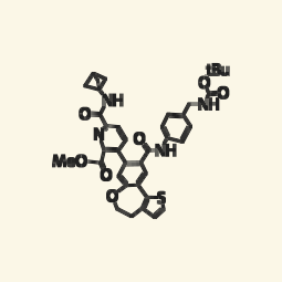 COC(=O)c1nc(C(=O)NC23CC(C2)C3)ccc1-c1cc2c(cc1C(=O)Nc1ccc(CNC(=O)OC(C)(C)C)cc1)-c1sccc1CCO2